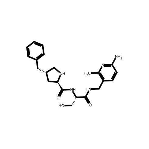 Cc1nc(N)ccc1CNC(=O)[C@H](CO)NC(=O)[C@H]1C[C@H](Cc2ccccc2)CN1